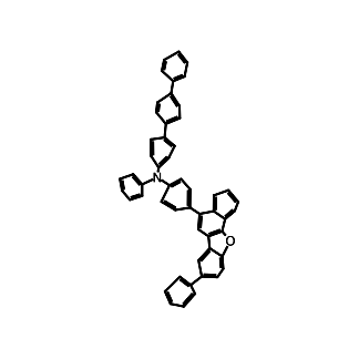 c1ccc(-c2ccc(-c3ccc(N(c4ccccc4)c4ccc(-c5cc6c7cc(-c8ccccc8)ccc7oc6c6ccccc56)cc4)cc3)cc2)cc1